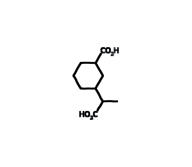 CC(C(=O)O)C1CCCC(C(=O)O)C1